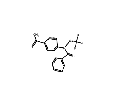 CC(=O)c1ccc(N(OC(F)(F)F)C(=O)c2ccccc2)cc1